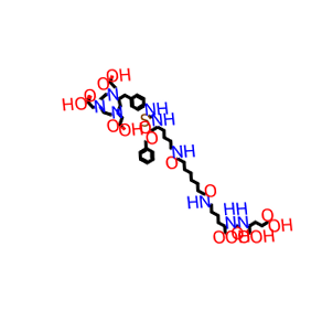 O=C(O)CCC(NC(=O)NC(CCCCNC(=O)CCCCCCC(=O)NCCCCC(NC(=S)Nc1ccc(CC2CN(CC(=O)O)CCN(CC(=O)O)CCN2CC(=O)O)cc1)C(=O)OCc1ccccc1)C(=O)O)C(=O)O